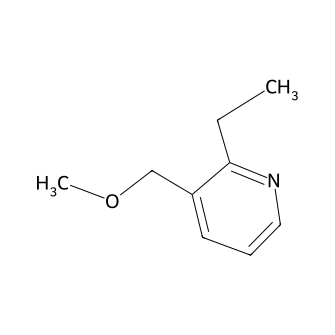 CCc1ncccc1COC